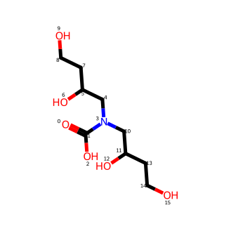 O=C(O)N(CC(O)CCO)CC(O)CCO